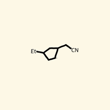 [CH2]CC1C[CH]C(CC#N)C1